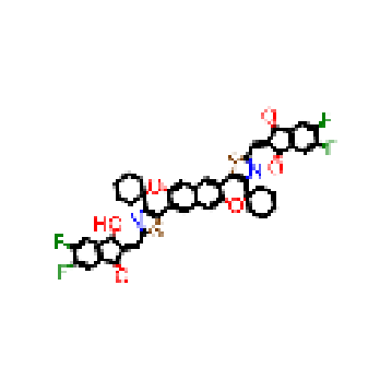 O=C1C(=Cc2nc3c(s2)C2=CC4C=C5OC6(CCCCC6)c6nc(/C=C7/C(=O)c8cc(F)c(F)cc8C7O)sc6C5=CC4C=C2OC32CCCCC2)C(=O)c2cc(F)c(F)cc21